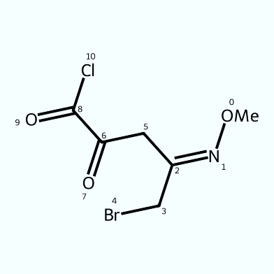 CO/N=C(/CBr)CC(=O)C(=O)Cl